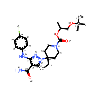 CC(CO[Si](C)(C)C(C)(C)C)OC(=O)N1CCC(CC#N)(n2cc(C(N)=O)c(Nc3ccc(F)cc3)n2)CC1